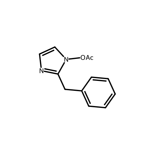 CC(=O)On1ccnc1Cc1ccccc1